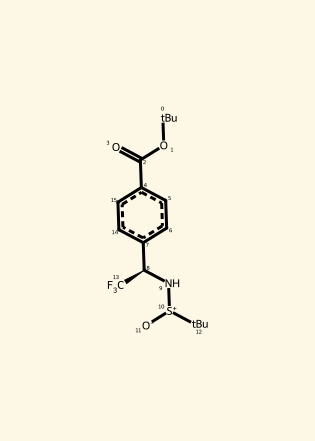 CC(C)(C)OC(=O)c1ccc([C@@H](N[S+]([O-])C(C)(C)C)C(F)(F)F)cc1